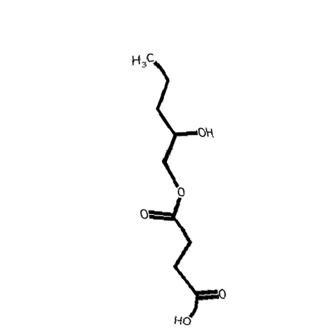 CCCC(O)COC(=O)CCC(=O)O